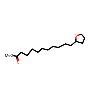 COC(=O)CCCCCCCCCCC1CCCO1